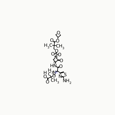 CC(C)(COS(=O)(=O)N1C[C@H](NC(=O)/C(=N/OC(C)(C)C(=O)O)c2csc(N)n2)C1=O)C(=O)OC1COC1